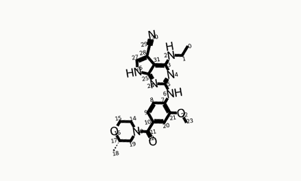 CCNc1nc(Nc2ccc(C(=O)N3CCO[C@@H](C)C3)cc2OC)nc2[nH]cc(C#N)c12